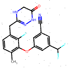 Cc1ccc(CC2=NNC(=O)CN2)c(F)c1Oc1cc(C#N)cc(C(F)F)c1